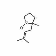 CC(C)=CCC1(C)[CH]CC[S+]1[O-]